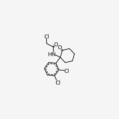 O=C(CCl)NC1(c2cccc(Cl)c2Cl)CCCCC1=O